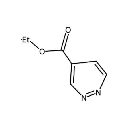 C[CH]OC(=O)c1ccnnc1